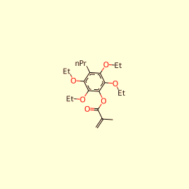 C=C(C)C(=O)Oc1c(OCC)c(OCC)c(CCC)c(OCC)c1OCC